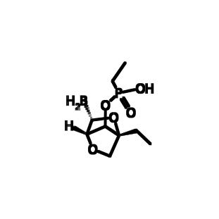 B[C@@H]1O[C@]2(CC)CO[C@H]1C2OP(=O)(O)CC